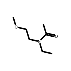 CCN(CCOC)C(C)=O